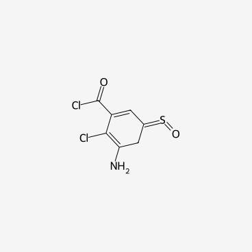 NC1=C(Cl)C(C(=O)Cl)=CC(=S=O)C1